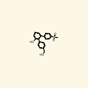 CS(=O)(=O)c1ccc(-c2[c]ccc(O)c2-c2ccc(CO)cc2)cc1